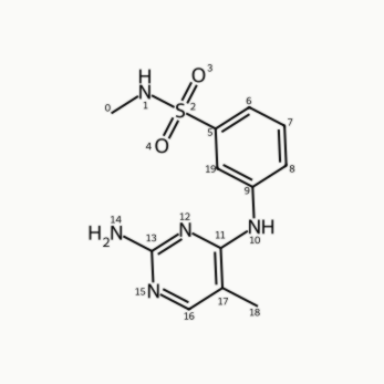 CNS(=O)(=O)c1cccc(Nc2nc(N)ncc2C)c1